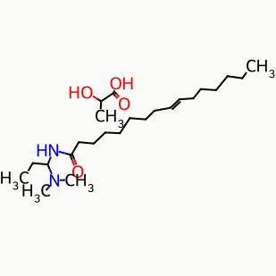 CC(O)C(=O)O.CCCCCCC=CCCCCCCCC(=O)NC(CC)N(C)C